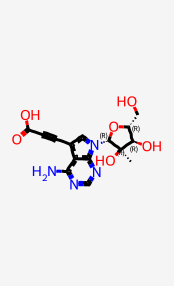 C[C@@]1(O)[C@H](O)[C@@H](CO)O[C@H]1n1cc(C#CC(=O)O)c2c(N)ncnc21